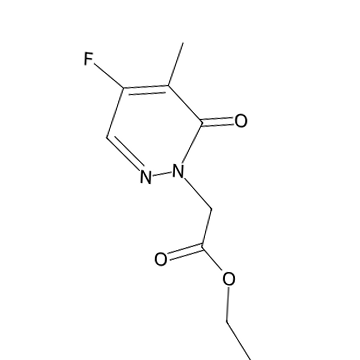 CCOC(=O)Cn1ncc(F)c(C)c1=O